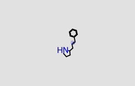 C(=C\c1ccccc1)/CC1CCCN1